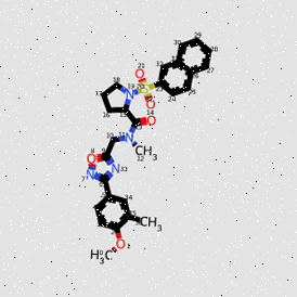 COc1ccc(-c2noc(CN(C)C(=O)C3CCCN3S(=O)(=O)c3ccc4ccccc4c3)n2)cc1C